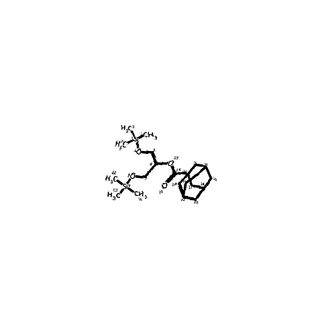 C[Si](C)(C)OCC(CO[Si](C)(C)C)OC(=O)C12CC3CC(CC(C3)C1)C2